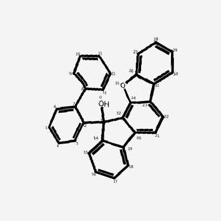 OC1(c2ccccc2-c2ccccc2)c2ccccc2-c2ccc3c(oc4ccccc43)c21